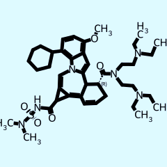 CCN(CC)CCN(CCN(CC)CC)C(=O)[C@@H]1CC=CC2=C3C(=Cn4c(cc5c(OC)ccc(C6CCCCC6)c54)C21)C3C(=O)NS(=O)(=O)N(C)C